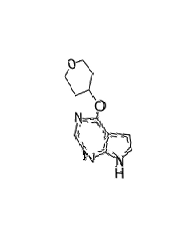 c1nc(OC2CCOCC2)c2cc[nH]c2n1